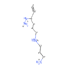 C=CC(CCCNCCCN)NN